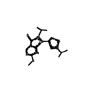 CSc1ncc2c(=O)n(C(C)C)n(-c3cnn(C(C)C)c3)c2n1